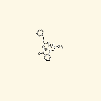 CC(C)COc1ccccc1C(=O)NOC(=O)CCc1ccccc1